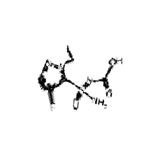 CCn1ncc(F)c1S(N)(=O)=NC(=O)O